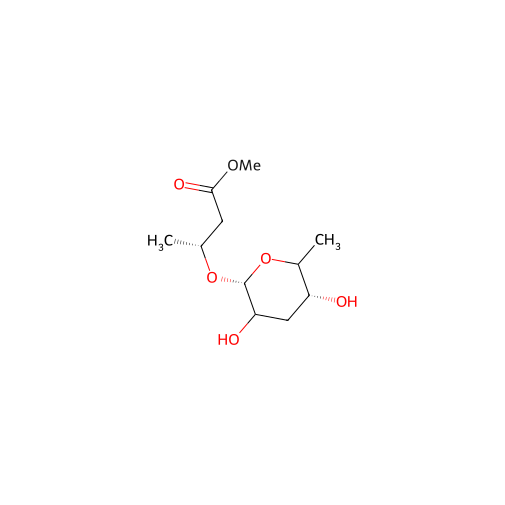 COC(=O)C[C@@H](C)O[C@@H]1OC(C)[C@H](O)CC1O